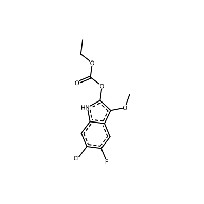 CCOC(=O)Oc1[nH]c2cc(Cl)c(F)cc2c1OC